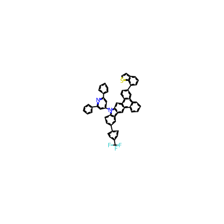 FC(F)(F)c1ccc(-c2ccc3c(c2)c2cc4c5ccccc5c5cc(-c6cccc7ccsc67)ccc5c4cc2n3-c2cc(-c3ccccc3)nc(-c3ccccc3)c2)cc1